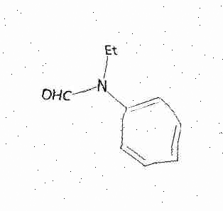 CCN(C=O)c1ccccc1